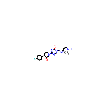 N/C=C\C(=N/Cn1cnc(N2CC=C(c3ccc(F)cc3)C(O)C2)nc1=O)C(F)(F)F